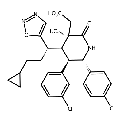 C[C@]1(CC(=O)O)C(=O)N[C@H](c2ccc(Cl)cc2)[C@@H](c2cccc(Cl)c2)C1[C@H](CCC1CC1)c1cnno1